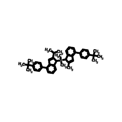 CC1=Cc2c(-c3ccc(C(C)(C)C)cc3)cccc2[CH]1[Zr]([CH3])([CH3])[CH]1C(C(C)C)=Cc2c(-c3ccc(C(C)(C)C)cc3)cccc21